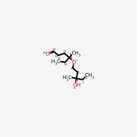 CCC(C)(O)CCOC(C)(CC)CCC=O